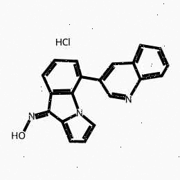 Cl.ON=C1c2cccc(-c3cnc4ccccc4c3)c2-n2cccc21